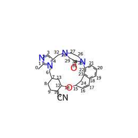 Cc1ncc2n1CC1CCC(C#N)C(C1)OC1C=Cc3cccc(c3C1)N1CCN(CC1=O)C2